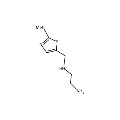 CNc1ncc(CNCCN)s1